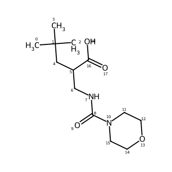 CC(C)(C)CC(CNC(=O)N1CCOCC1)C(=O)O